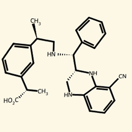 C[C@H](C(=O)O)c1cccc([C@@H](C)CN[C@H](c2ccccc2)[C@H]2CNc3cccc(C#N)c3N2)c1